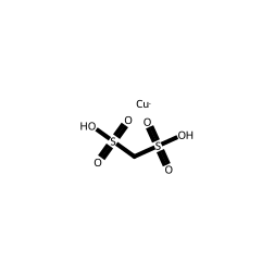 O=S(=O)(O)CS(=O)(=O)O.[Cu]